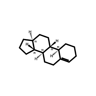 C1=C2CC[C@H]3[C@@H]4CCC[C@H]4CC[C@@H]3[C@H]2CCC1